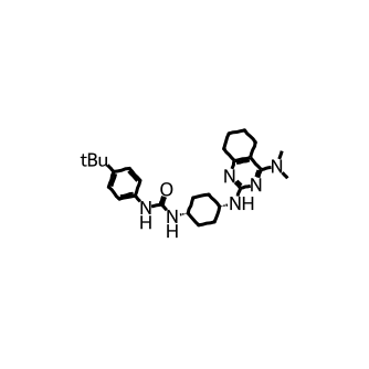 CN(C)c1nc(N[C@H]2CC[C@@H](NC(=O)Nc3ccc(C(C)(C)C)cc3)CC2)nc2c1CCCC2